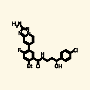 CCc1cc(F)c(-c2ccn3nc(N)nc3c2)cc1C(=O)NCC[C@H](O)c1ccc(Cl)cc1